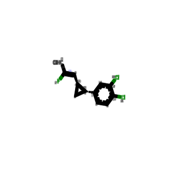 O=C/C(F)=C/[C@@H]1C[C@H]1c1ccc(Cl)c(Cl)c1